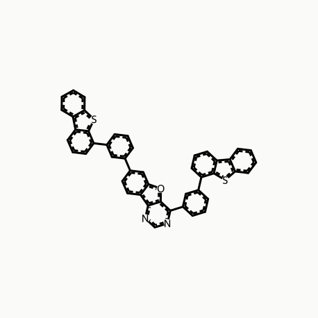 c1cc(-c2ccc3c(c2)oc2c(-c4cccc(-c5cccc6c5sc5ccccc56)c4)ncnc23)cc(-c2cccc3c2sc2ccccc23)c1